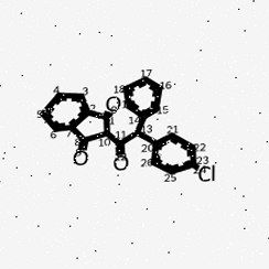 O=C1c2ccccc2C(=O)C1C(=O)C(c1ccccc1)c1ccc(Cl)cc1